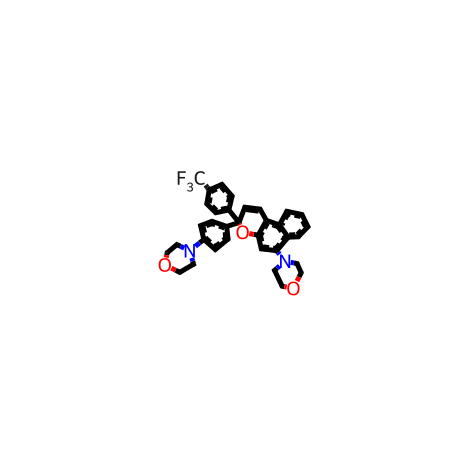 FC(F)(F)c1ccc(C2(c3ccc(N4CCOCC4)cc3)C=Cc3c(cc(N4CCOCC4)c4ccccc34)O2)cc1